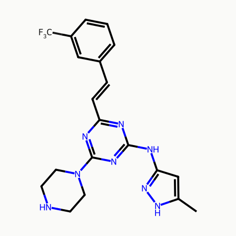 Cc1cc(Nc2nc(/C=C/c3cccc(C(F)(F)F)c3)nc(N3CCNCC3)n2)n[nH]1